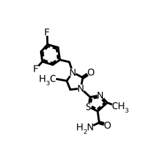 Cc1nc(N2CC(C)N(Cc3cc(F)cc(F)c3)C2=O)sc1C(N)=O